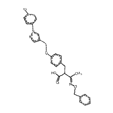 C/C(=N\OCc1ccccc1)C(Cc1ccc(OCc2cnn(-c3ccc(Cl)cc3)c2)cc1)C(=O)O